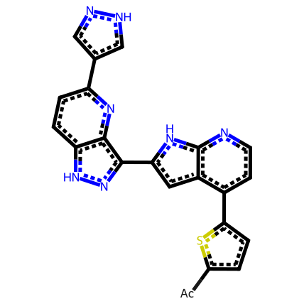 CC(=O)c1ccc(-c2ccnc3[nH]c(-c4n[nH]c5ccc(-c6cn[nH]c6)nc45)cc23)s1